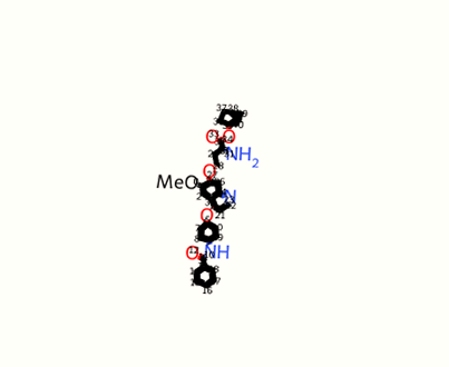 COc1cc2c(Oc3ccc(NC(=O)c4ccccc4)cc3)ccnc2cc1OCC[C@H](N)C(=O)OC12CCC(CC1)C2